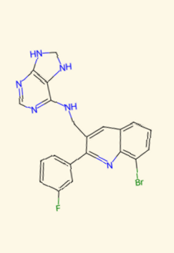 Fc1cccc(-c2nc3c(Br)cccc3cc2CNc2ncnc3c2NCN3)c1